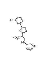 CC(C)CC(NCC(C(=O)O)c1ccc(-c2cccc(Cl)c2)o1)C(=O)O